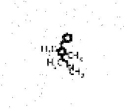 C=NCCC(C)c1cc(C)c(Cc2ccccc2)cc1C